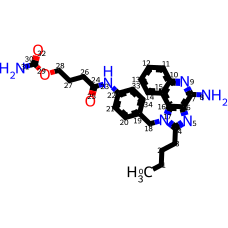 CCCCc1nc2c(N)nc3ccccc3c2n1Cc1ccc(NC(=O)CCCOC(N)=O)cc1